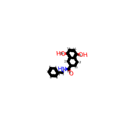 O=C(NCc1ccccc1)C1CCc2c(O)ccc(O)c2C1